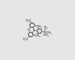 Cc1cnc2c(c1)Oc1cc(C)cnc1N2c1c(C)cc(C(C)(C)C)cc1C